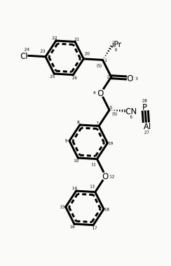 CC(C)[C@H](C(=O)O[C@H](C#N)c1cccc(Oc2ccccc2)c1)c1ccc(Cl)cc1.[Al]#[P]